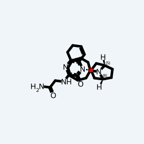 NC(=O)CNc1nc2c(n([C@H]3C[C@H]4CC[C@@H](C3)N4C3CCCCCCC3)c1=O)C=CCC2